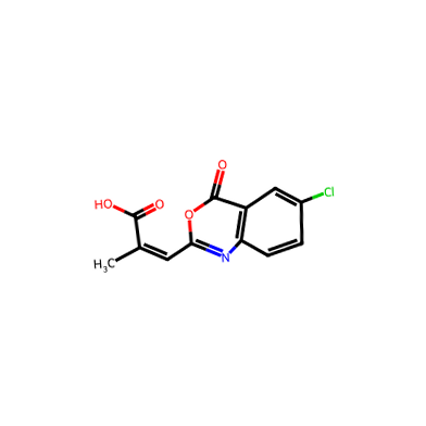 CC(=Cc1nc2ccc(Cl)cc2c(=O)o1)C(=O)O